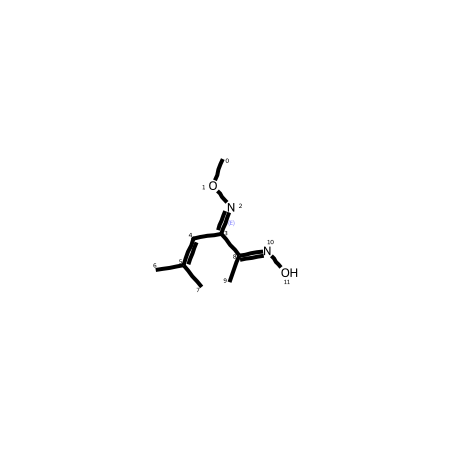 CO/N=C(\C=C(C)C)C(C)=NO